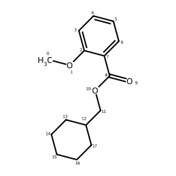 COc1ccccc1C(=O)OCC1CCCCC1